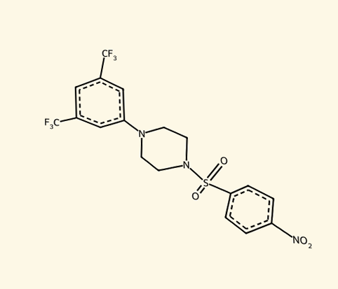 O=[N+]([O-])c1ccc(S(=O)(=O)N2CCN(c3cc(C(F)(F)F)cc(C(F)(F)F)c3)CC2)cc1